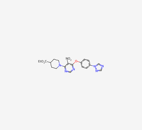 CCOC(=O)C1CCN(c2ncnc(Oc3ccc(-n4cncn4)cc3)c2[N+](=O)[O-])CC1